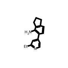 CCc1cc(-c2ccc3c(c2N)CCC3)ccn1